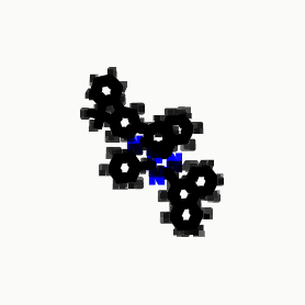 CC1(C)c2ccccc2-c2cc3c4ccccc4n(-c4ccccc4-c4nc(-c5ccccc5)nc(-c5cc6ccccc6c6ccccc56)n4)c3cc21